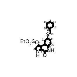 CCOC(=O)Oc1c[nH]c2c(=O)[nH]c3ccc(SCc4ccccc4)cc3c12